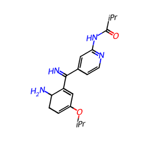 CC(C)OC1=CCC(N)C(C(=N)c2ccnc(NC(=O)C(C)C)c2)=C1